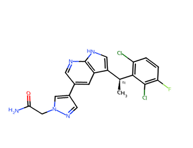 C[C@H](c1c(Cl)ccc(F)c1Cl)c1c[nH]c2ncc(-c3cnn(CC(N)=O)c3)cc12